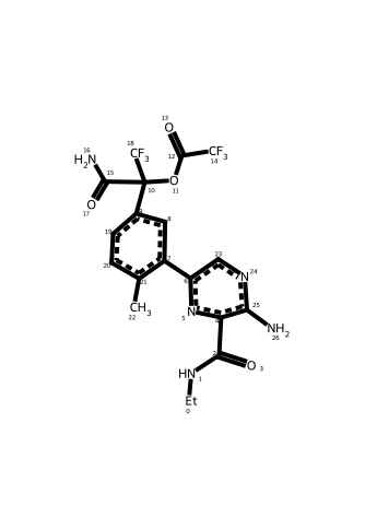 CCNC(=O)c1nc(-c2cc(C(OC(=O)C(F)(F)F)(C(N)=O)C(F)(F)F)ccc2C)cnc1N